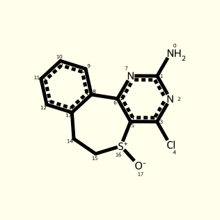 Nc1nc(Cl)c2c(n1)-c1ccccc1CC[S+]2[O-]